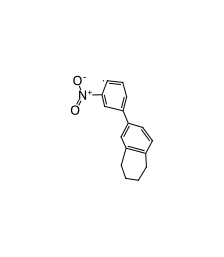 O=[N+]([O-])c1[c]ccc(-c2ccc3c(c2)CCCC3)c1